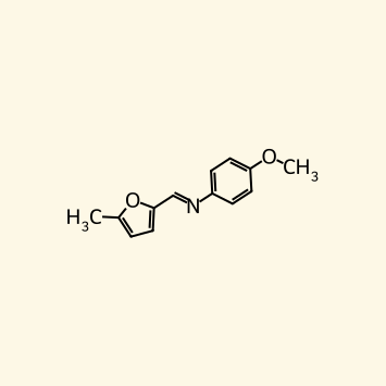 COc1ccc(/N=C/c2ccc(C)o2)cc1